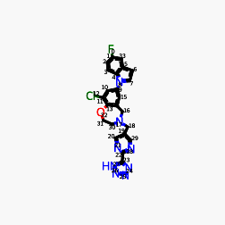 Fc1ccc2c(ccn2-c2cc(Cl)c3c(c2)CN(Cc2cnc(-c4nnn[nH]4)nc2)CCO3)c1